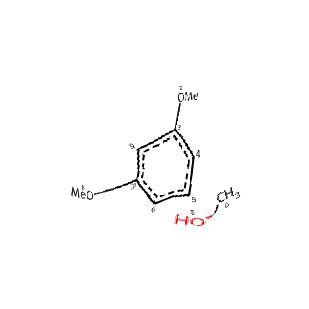 CO.COc1cccc(OC)c1